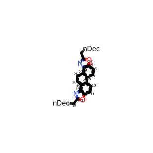 CCCCCCCCCCCc1nc2c(ccc3c4ccc5oc(CCCCCCCCCCC)nc5c4ccc32)o1